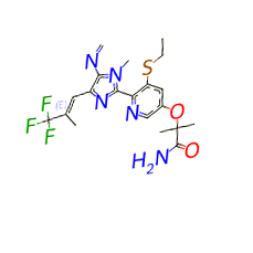 C=Nc1c(/C=C(\C)C(F)(F)F)nc(-c2ncc(OC(C)(C)C(N)=O)cc2SCC)n1C